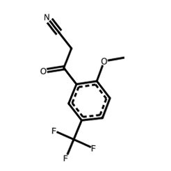 COc1ccc(C(F)(F)F)cc1C(=O)CC#N